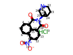 Cl.O=C1c2cccc3c([N+](=O)[O-])ccc(c23)C(=O)N1C1CN2CCC1CC2